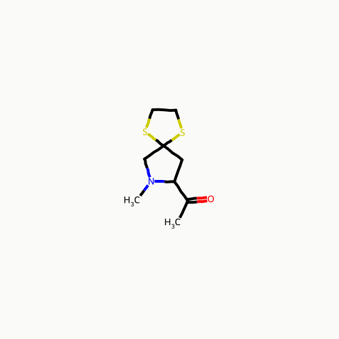 CC(=O)C1CC2(CN1C)SCCS2